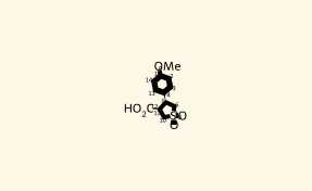 COc1ccc([C@@H]2CS(=O)(=O)C[C@@H]2C(=O)O)cc1